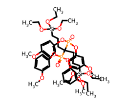 CCO[Si](CCCC(CCC[Si](OCC)(OCC)OCC)(P(=O)(Oc1ccc(OC)cc1)Oc1cccc(OC)c1)P(=O)(Oc1cccc(OC)c1)Oc1cccc(OC)c1)(OCC)OCC